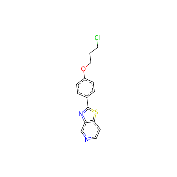 ClCCCOc1ccc(-c2nc3cnccc3s2)cc1